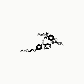 CNS(=O)(=O)c1ccc(OCC(F)(F)F)c(Nc2cc(Nc3ccc(OCCOC)cc3)ncn2)c1